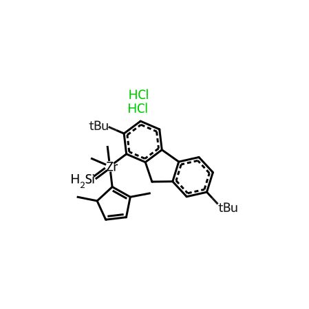 CC1=[C]([Zr]([CH3])([CH3])(=[SiH2])[c]2c(C(C)(C)C)ccc3c2Cc2cc(C(C)(C)C)ccc2-3)C(C)C=C1.Cl.Cl